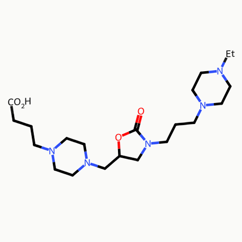 CCN1CCN(CCCN2CC(CN3CCN(CCCC(=O)O)CC3)OC2=O)CC1